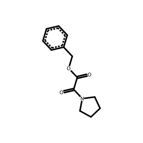 O=C(OCc1ccccc1)C(=O)N1CCCC1